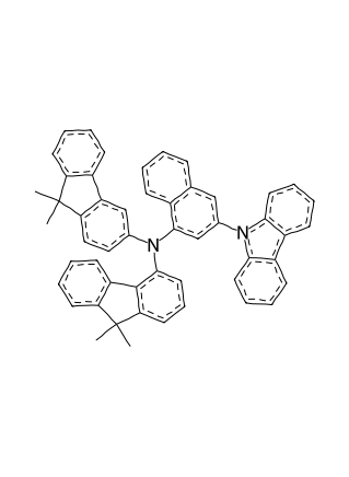 CC1(C)c2ccccc2-c2cc(N(c3cccc4c3-c3ccccc3C4(C)C)c3cc(-n4c5ccccc5c5ccccc54)cc4ccccc34)ccc21